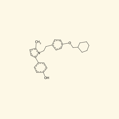 Cc1ccc(-c2ccc(O)cc2)n1CCc1ccc(OCC2CCCCC2)cc1